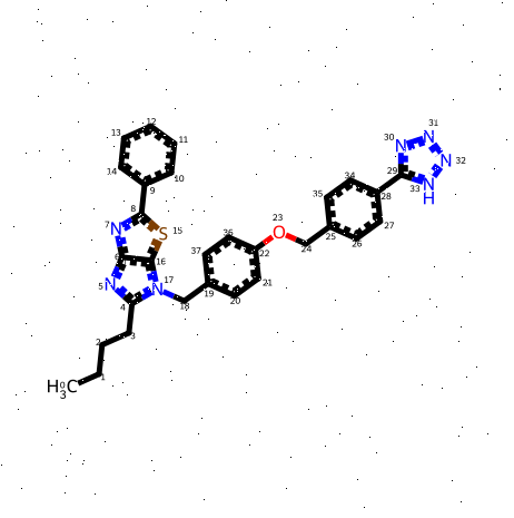 CCCCc1nc2nc(-c3ccccc3)sc2n1Cc1ccc(OCc2ccc(-c3nnn[nH]3)cc2)cc1